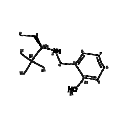 CC[C@@H](NCc1ccccc1O)C(C)(C)C